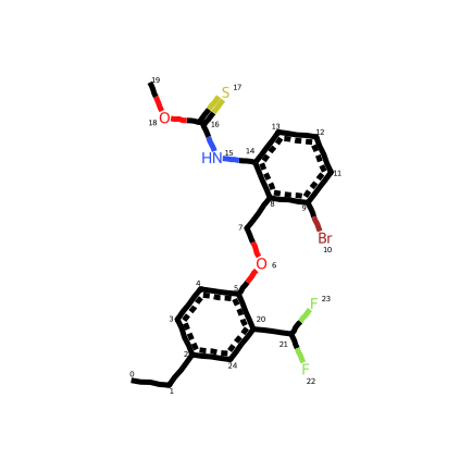 CCc1ccc(OCc2c(Br)cccc2NC(=S)OC)c(C(F)F)c1